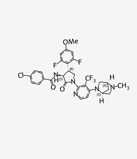 COc1cc(F)c([C@@H]2CN(c3nccc(N4C[C@@H]5C[C@H]4CN5C)c3C(F)(F)F)C(=O)[C@H]2NC(=O)c2ccc(Cl)cc2)c(F)c1